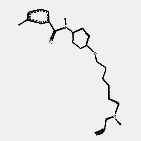 C=CCN(C)CCCCCCOC1CCC(N(C)C(=O)c2cccc(C)c2)CC1